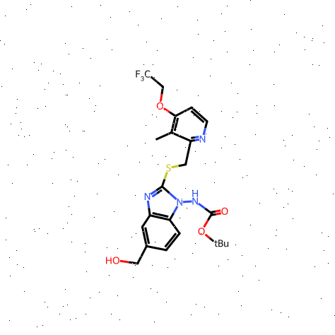 Cc1c(OCC(F)(F)F)ccnc1CSc1nc2cc(CO)ccc2n1NC(=O)OC(C)(C)C